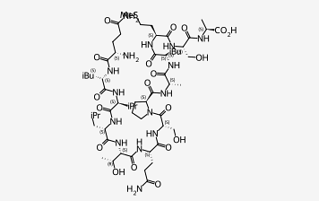 CC[C@H](C)[C@H](NC(=O)[C@H](C)NC(=O)[C@@H]1CCCN1C(=O)[C@H](CO)NC(=O)[C@H](CCC(N)=O)NC(=O)[C@@H](NC(=O)[C@H](CC(C)C)NC(=O)[C@@H](NC(=O)[C@@H](NC(=O)[C@@H](N)CCC(N)=O)[C@@H](C)CC)C(C)C)[C@@H](C)O)C(=O)N[C@@H](CCSC)C(=O)N[C@@H](CO)C(=O)N[C@@H](C)C(=O)O